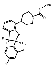 CC(C)(C)OC(=O)N1CCC(c2cccc3c2OC(C)(c2ccc(Cl)cc2F)C3(F)F)CC1